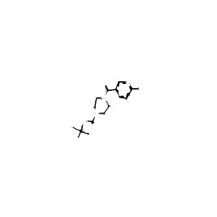 CC(C)(C)OC(=O)N1CCN(C(=O)c2ccc(Br)nc2)CC1